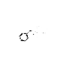 CCCCC[N+](CCCC)(CCCC)Cc1ccccc1